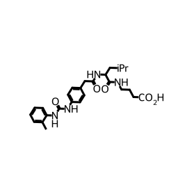 Cc1ccccc1NC(=O)Nc1ccc(CC(=O)NC(CC(C)C)C(=O)NCCCC(=O)O)cc1